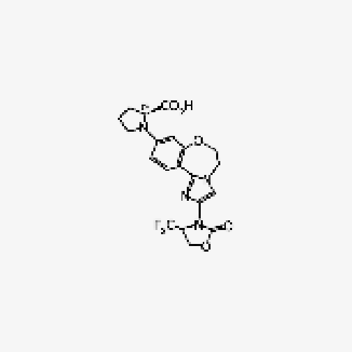 O=C(O)[C@@H]1CCCN1c1ccc2c(c1)OCCn1cc(N3C(=O)OCC3C(F)(F)F)nc1-2